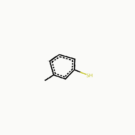 Cc1[c]ccc(S)c1